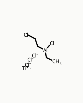 C[CH2][Al]([Cl])[CH2]CCl.[Cl-].[Cl-].[Cl-].[Ti+3]